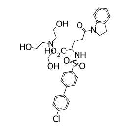 O=C(O)C(CCC(=O)N1CCc2ccccc21)NS(=O)(=O)c1ccc(-c2ccc(Cl)cc2)cc1.OCCN(CCO)CCO